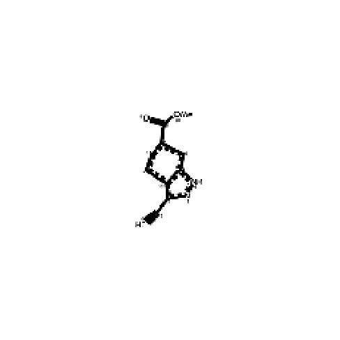 C#Cc1n[nH]c2cc(C(=O)OC)ccc12